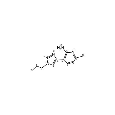 CCCn1cc(-c2ccc(C)nc2N)nn1